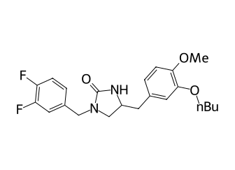 CCCCOc1cc(CC2CN(Cc3ccc(F)c(F)c3)C(=O)N2)ccc1OC